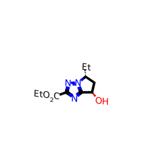 CCOC(=O)c1nc2n(n1)[C@H](CC)C[C@H]2O